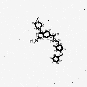 CN1CCN(c2nc(N)nc3cc(C(=O)NCc4ccc(Oc5ccccc5)cc4)ccc23)CC1